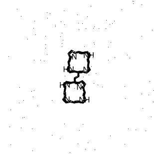 C1=Cc2cc3ccc([nH]3)c(CCc3c4nc(cc5ccc(cc6nc(cc7ccc3[nH]7)C=C6)[nH]5)C=C4)c3nc(cc4ccc(cc1n2)[nH]4)C=C3